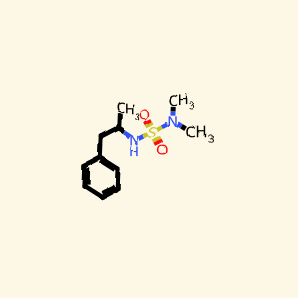 CC(Cc1ccccc1)NS(=O)(=O)N(C)C